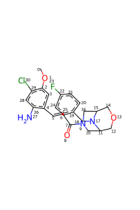 COc1cc(C=CC(=O)N2CC3COCC(C2)N3Cc2ccc(F)cc2)c(N)cc1Cl